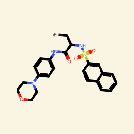 CC(C)CC(NS(=O)(=O)c1ccc2ccccc2c1)C(=O)Nc1ccc(N2CCOCC2)cc1